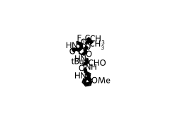 COc1cccc2[nH]c(C(=O)N[C@](C=O)(CN[C@@H](C[C@@H]3CCCNC3=O)C(=O)COC(=O)C(C)(C)C(F)(F)F)CC(C)(C)C)cc12